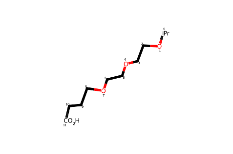 CC(C)OCCOCCOCCCC(=O)O